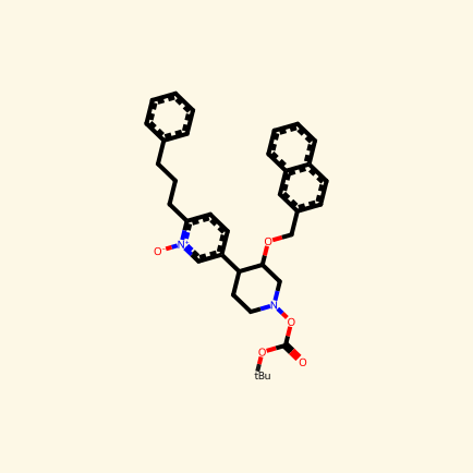 CC(C)(C)OC(=O)ON1CCC(c2ccc(CCCc3ccccc3)[n+]([O-])c2)C(OCc2ccc3ccccc3c2)C1